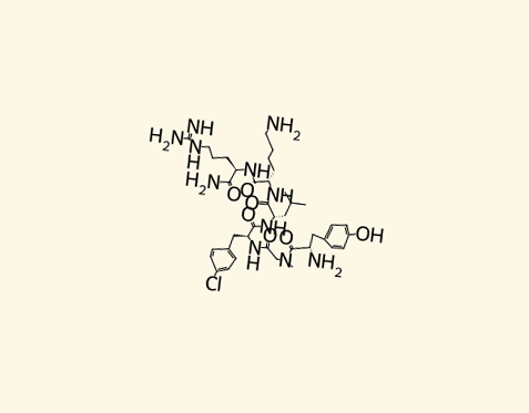 CC(C)C[C@H](NC(=O)[C@H](Cc1ccc(Cl)cc1)NC(=O)CN(C)C(=O)[C@@H](N)Cc1ccc(O)cc1)C(=O)N[C@@H](CCCCN)C(=O)N[C@H](CCCNC(=N)N)C(N)=O